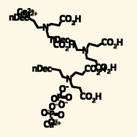 CCCCCCCCCCCCN(CCC(=O)O)CCC(=O)O.CCCCCCCCCCCCN(CCC(=O)O)CCC(=O)O.CCCCCCCCCCCCN(CCC(=O)O)CCC(=O)O.O=P([O-])([O-])[O-].O=P([O-])([O-])[O-].[Ca+2].[Ca+2].[Ca+2]